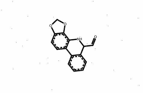 O=CC1Nc2c(ccc3c2OCO3)-c2ccccc21